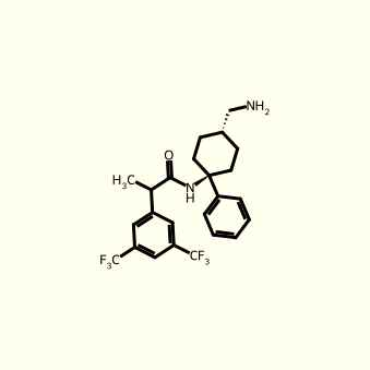 CC(C(=O)N[C@]1(c2ccccc2)CC[C@@H](CN)CC1)c1cc(C(F)(F)F)cc(C(F)(F)F)c1